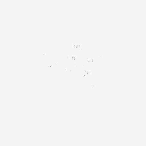 CC(=O)C[C@H](NC(=O)N[C@H](C(=O)OC(C)(C)C)C(C)OC(C)(C)C)/C(N)=N/OC(=O)[C@@H](C)COC(C)(C)C